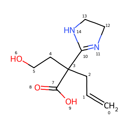 C=CCC(CCO)(C(=O)O)C1=NCCN1